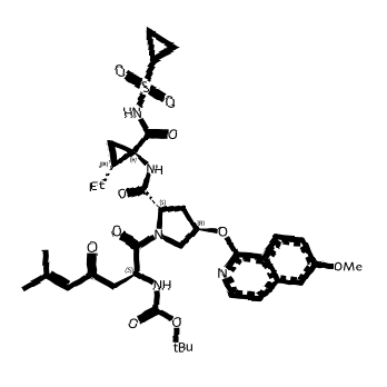 CC[C@@H]1C[C@]1(NC(=O)[C@@H]1C[C@@H](Oc2nccc3cc(OC)ccc23)CN1C(=O)[C@H](CC(=O)C=C(C)C)NC(=O)OC(C)(C)C)C(=O)NS(=O)(=O)C1CC1